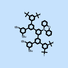 CC(C)(C)c1cc(-c2cc(-c3cc(-c4cc(-c5cc(C(C)(C)C)cc(C(C)(C)C)c5)cc(-c5cc(C(C)(C)I)cc(C(C)(C)I)c5)c4)cc(N4c5ccccc5Oc5ccccc54)c3)cc(-c3cc(C(C)(C)I)cc(C(C)(C)I)c3)c2)cc(C(C)(C)C)c1